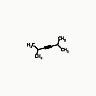 CC(C)C#CC(C)C